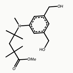 COC(=O)C(C)(C)CC(C)(C)N(C)c1cc(CO)cc(CO)c1